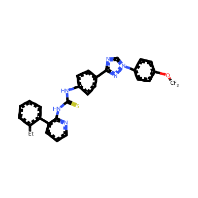 CCc1ccccc1-c1cccnc1NC(=S)Nc1ccc(-c2ncn(-c3ccc(OC(F)(F)F)cc3)n2)cc1